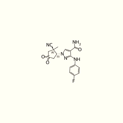 C[C@@]1(C#N)CS(=O)(=O)C[C@H]1n1cc(C(N)=O)c(Nc2ccc(F)cc2)n1